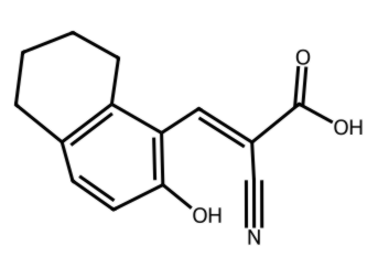 N#CC(=Cc1c(O)ccc2c1CCCC2)C(=O)O